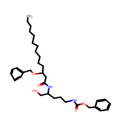 CCCCCCCCCCCC(CC(=O)NC(CO)CCCNC(=O)OCc1ccccc1)OCc1ccccc1